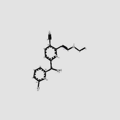 CCO/C=C/c1nc(C(O)c2cccc(Cl)n2)ccc1C#N